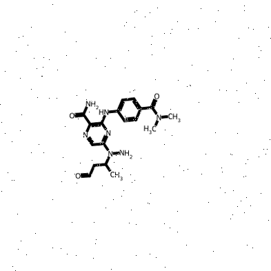 CC(CC=O)N(N)c1cnc(C(N)=O)c(Nc2ccc(C(=O)N(C)C)cc2)n1